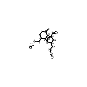 CC1CCC(CN=C=O)C2C3CC(C=O)(CC3CN=C=O)C12